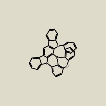 c1ccc(-n2c3ccccc3c3cc4c5ccccc5n5c4c(c32)B2c3ccccc3Oc3cccc-5c32)cc1